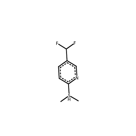 C[SH](C)c1ccc(C(F)F)cn1